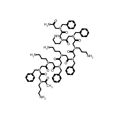 CC(=O)N(CCCN)CC(=O)N(CC(=O)N(CCCN)CC(=O)N(CC(=O)N(CCCN)CC(=O)N(CC(=O)N(CCCN)CC(=O)N(CC(=O)N(CCCN)CC(=O)N(CC(N)=O)Cc1ccccc1)Cc1ccccc1)Cc1ccccc1)Cc1ccccc1)Cc1ccccc1